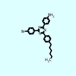 Bc1ccc(-c2nc(-c3ccc(Br)cc3)nc(-c3ccc(CCCCCC)cc3)n2)cc1